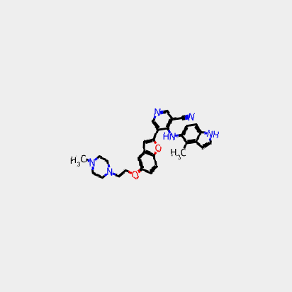 Cc1c(Nc2c(C#N)cncc2-c2cc3cc(OCCN4CCN(C)CC4)ccc3o2)ccc2[nH]ccc12